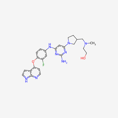 CN(CCO)CC1CCN(c2cc(Nc3ccc(Oc4ccnc5[nH]ccc45)c(F)c3)nc(N)n2)C1